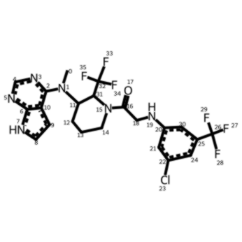 CN(c1ncnc2[nH]ccc12)C1CCCN(C(=O)CNc2cc(Cl)cc(C(F)(F)F)c2)C1C(F)(F)F